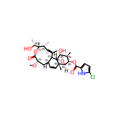 CO[C@H]1C[C@H]2C=C[C@]3(C)[C@H]4[C@H](O)[C@@H](C)[C@@H](OC(=O)c5ccc(Cl)[nH]5)[C@@H]3O[C@@]24/C(C)=C/[C@@H](C)[C@@](C)([C@@H](C)O)OC1=O